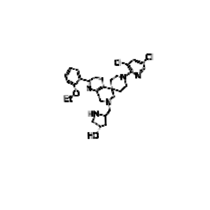 CCOc1ccccc1-c1ccc2c(n1)CN(C[C@H]1C[C@H](O)CN1)CC21CCN(c2ncc(Cl)cc2Cl)CC1